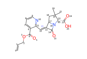 C=CCOC(=O)c1cccnc1/C=C1/C(=O)N2C1CC(C)(C)[C@@H]2C(=O)O